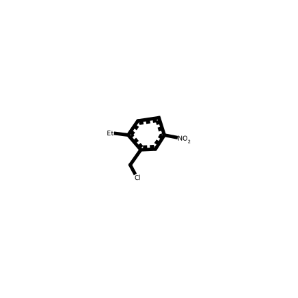 CCc1ccc([N+](=O)[O-])cc1CCl